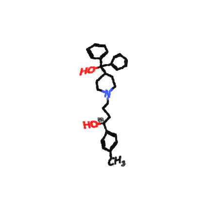 Cc1ccc([C@@H](O)CCCN2CCC(C(O)(c3ccccc3)c3ccccc3)CC2)cc1